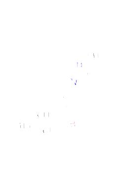 CCN1CCN(CC[C@@H](CO)CCC(C)(C)C)CC1